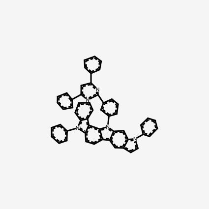 c1ccc(-c2cc(-c3ccccc3)nc(-c3cccc(-n4c5cc6c(ccn6-c6ccccc6)cc5c5ccc6c(c7ccccc7n6-c6ccccc6)c54)c3)n2)cc1